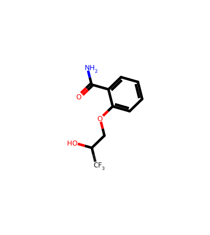 NC(=O)c1ccccc1OCC(O)C(F)(F)F